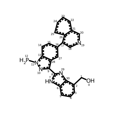 OCc1cccc2[nH]c(-c3nn(P)c4ccc(-c5cncc6ccccc56)cc34)nc12